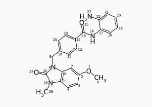 COc1ccc2c(c1)n(Cc1ccc(C(=O)Nc3ccccc3N)cc1)c(=O)n2C